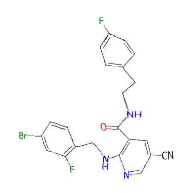 N#Cc1cnc(NCc2ccc(Br)cc2F)c(C(=O)NCCc2ccc(F)cc2)c1